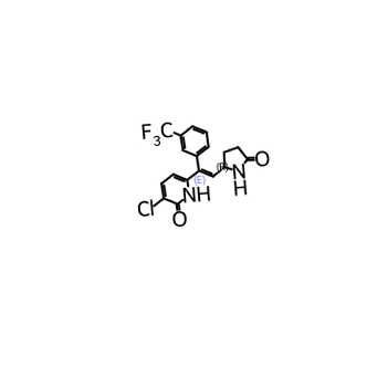 O=C1CC[C@H](/C=C(\c2cccc(C(F)(F)F)c2)c2ccc(Cl)c(=O)[nH]2)N1